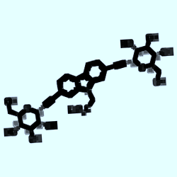 CCOC(=O)Cn1c2cc(C#C[C@H]3O[C@H](CO)[C@@H](O)[C@H](O)[C@H]3O)ccc2c2ccc(C#C[C@H]3O[C@H](CO)[C@@H](O)[C@H](O)[C@H]3O)cc21